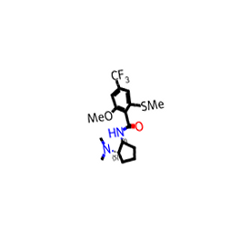 COc1cc(C(F)(F)F)cc(SC)c1C(=O)N[C@@H]1CCC[C@@H]1N(C)C